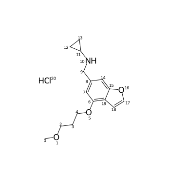 COCCCOc1cc(CNC2CC2)cc2occc12.Cl